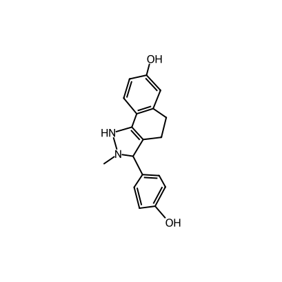 CN1NC2=C(CCc3cc(O)ccc32)C1c1ccc(O)cc1